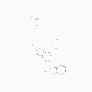 Cc1nc2ccccc2n1-c1nc(N2CCOCC2)c2oc(CN3CCN(S(C)(C)C(N)=O)CC3)cc2n1